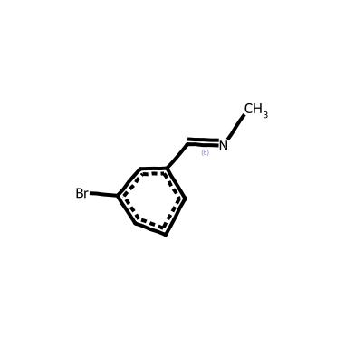 C/N=C/c1cccc(Br)c1